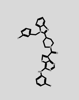 O=C(c1csc2c(Nc3cccc(F)c3)ncnc12)N1CCC(c2nc3ccccc3n2Cc2cccc(F)c2)CC1